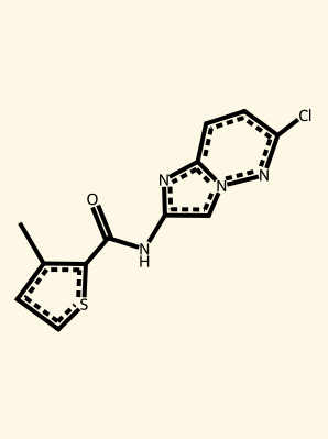 Cc1ccsc1C(=O)Nc1cn2nc(Cl)ccc2n1